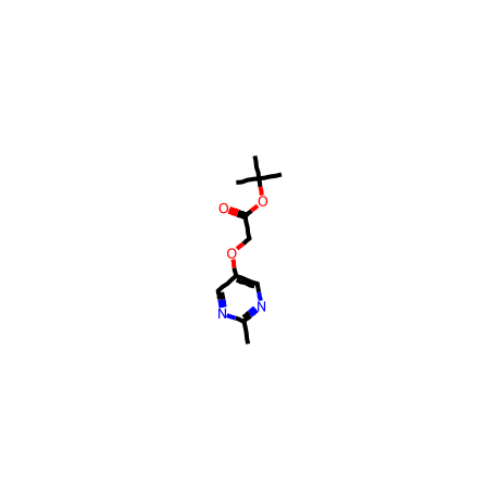 Cc1ncc(OCC(=O)OC(C)(C)C)cn1